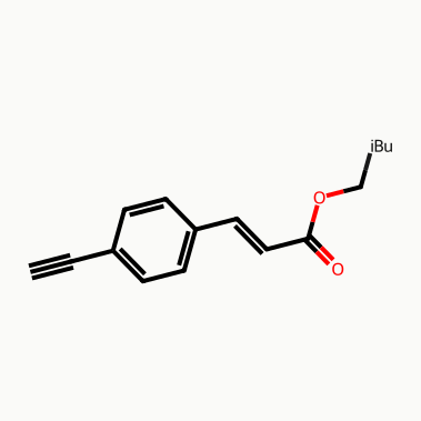 C#Cc1ccc(C=CC(=O)OCC(C)CC)cc1